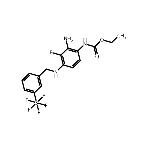 CCOC(=O)Nc1ccc(NCc2cccc(S(F)(F)(F)(F)F)c2)c(F)c1N